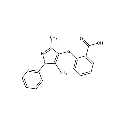 Cc1nn(-c2ccccc2)c(N)c1Sc1ccccc1C(=O)O